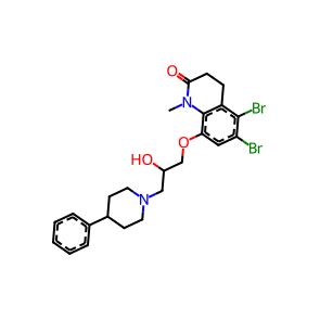 CN1C(=O)CCc2c(Br)c(Br)cc(OCC(O)CN3CCC(c4ccccc4)CC3)c21